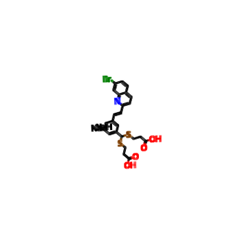 O=C(O)CCSC(SCCC(=O)O)c1cccc(C=Cc2ccc3ccc(Br)cc3n2)c1.[NaH].[NaH]